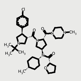 CN1CCN(C(=O)[C@@H]2C[C@@H](N(C(=O)[C@@H]3CCCO3)[C@H]3CC[C@@H](C)CC3)CN2C(=O)[C@@H]2CN(C(C)(C)C)C[C@H]2c2ccc(Cl)cc2)CC1